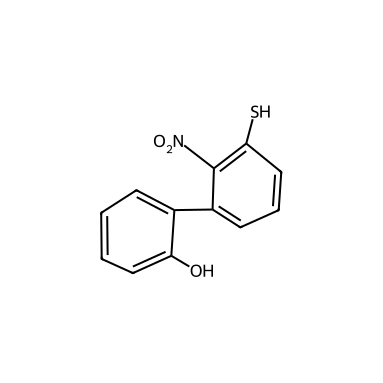 O=[N+]([O-])c1c(S)cccc1-c1ccccc1O